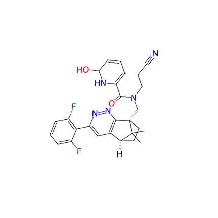 CC1(C)[C@H]2CC[C@]1(CN(CCC#N)C(=O)C1=CC=CC(O)N1)c1nnc(-c3c(F)cccc3F)cc12